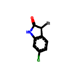 CCC1C(=O)Nc2cc(Cl)ccc21